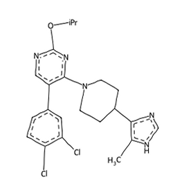 Cc1[nH]cnc1C1CCN(c2nc(OC(C)C)ncc2-c2ccc(Cl)c(Cl)c2)CC1